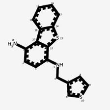 Nc1ccc(NCc2ccsc2)c2sc3ccccc3c12